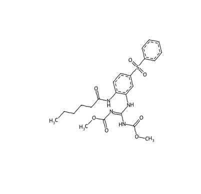 CCCCCC(=O)Nc1ccc(S(=O)(=O)c2ccccc2)cc1NC(=NC(=O)OC)NC(=O)OC